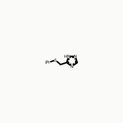 CC(C)SCc1ncn[nH]1